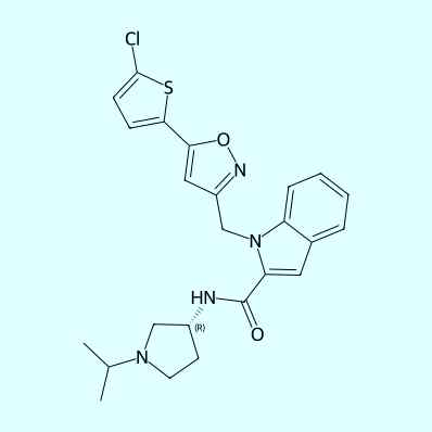 CC(C)N1CC[C@@H](NC(=O)c2cc3ccccc3n2Cc2cc(-c3ccc(Cl)s3)on2)C1